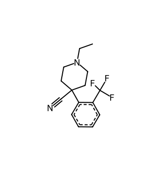 CCN1CCC(C#N)(c2ccccc2C(F)(F)F)CC1